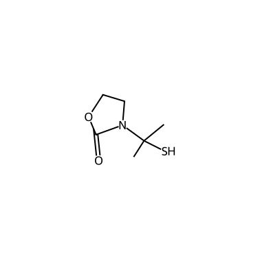 CC(C)(S)N1CCOC1=O